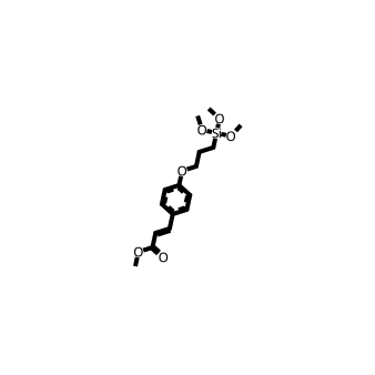 COC(=O)C=Cc1ccc(OCCC[Si](OC)(OC)OC)cc1